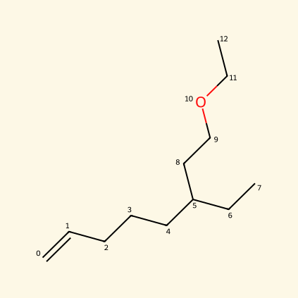 C=CCCCC(CC)CCOCC